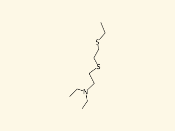 CCSCCSCCN(CC)CC